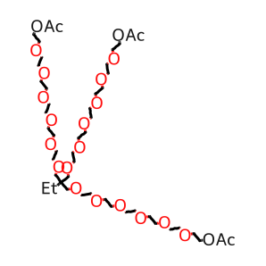 CCC(COCCOCCOCCOCCOCCOCCOC(C)=O)(COCCOCCOCCOCCOCCOCCOC(C)=O)COCCOCCOCCOCCOCCOCCOC(C)=O